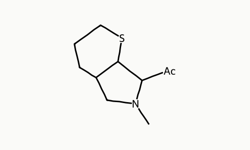 CC(=O)C1C2SCCCC2CN1C